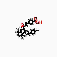 Cc1ccc(C(C)(C)Cc2cc(C(=O)C=Cc3ccc(C(=O)O)cc3)cc3c2C(C)(C)CCC3(C)C)cc1